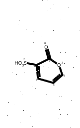 O=c1occcc1S(=O)(=O)O